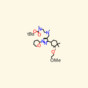 COCCOC[C@@H]1CC(c2nn(C3CCCCO3)cc2CN(C)CCN(C)C(=O)OC(C)(C)C)CCC1(C)C